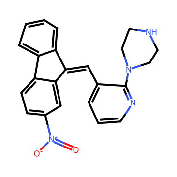 O=[N+]([O-])c1ccc2c(c1)C(=Cc1cccnc1N1CCNCC1)c1ccccc1-2